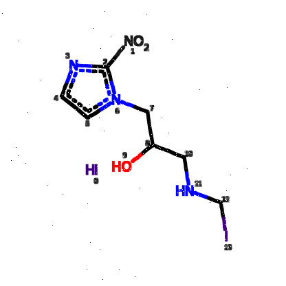 I.O=[N+]([O-])c1nccn1CC(O)CNCI